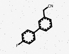 N#CCc1cccc(-c2ccc(F)cc2)c1